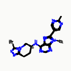 CCn1c(-c2cnc(C)nc2)nc2c(N[C@H]3CCc4nnc(C(C)C)n4C3)ncnc21